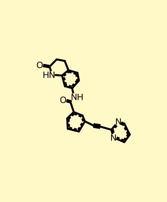 O=C1CCc2ccc(NC(=O)c3cccc(C#Cc4ncccn4)c3)cc2N1